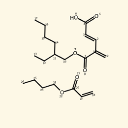 C=C(C=CC(=O)O)C(=O)OCC(CC)CCCC.C=CC(=O)OCCCC